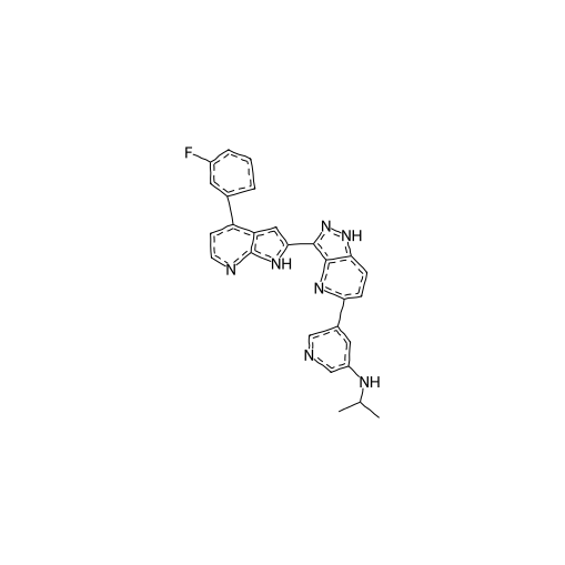 CC(C)Nc1cncc(-c2ccc3[nH]nc(-c4cc5c(-c6cccc(F)c6)ccnc5[nH]4)c3n2)c1